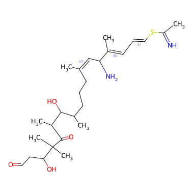 CC(=N)S/C=C/C=C(\C)C(N)/C=C(/C)CCCC(C)C(O)C(C)C(=O)C(C)(C)C(O)CC=O